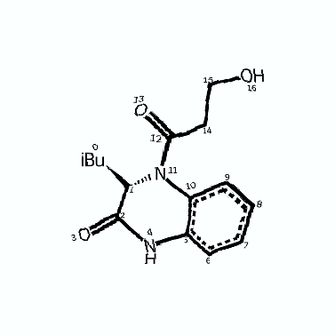 CC[C@H](C)[C@H]1C(=O)Nc2ccccc2N1C(=O)CCO